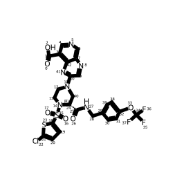 O=C(O)c1cncc2ncc(N3CCN(S(=O)(=O)c4ccc(Cl)s4)[C@@H](C(=O)NCc4ccc(OC(F)(F)F)cc4)C3)nc12